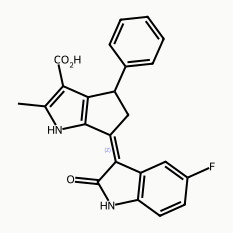 Cc1[nH]c2c(c1C(=O)O)C(c1ccccc1)C/C2=C1/C(=O)Nc2ccc(F)cc21